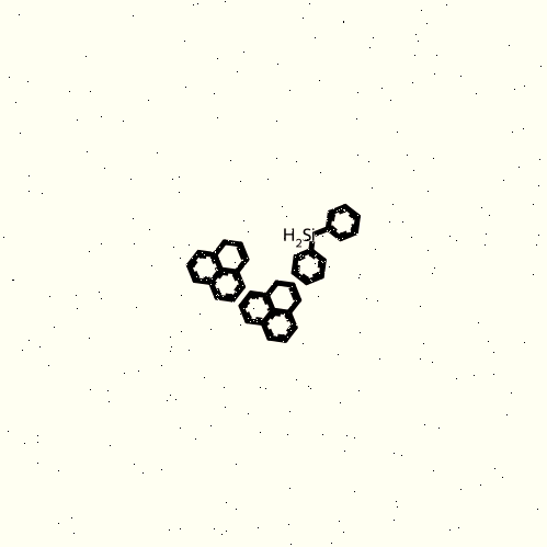 C1=Cc2cccc3cccc(c23)C1.C1=Cc2cccc3cccc(c23)C1.c1ccc([SiH2]c2ccccc2)cc1